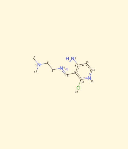 CN(C)CC/N=C/c1c(N)ccnc1Cl